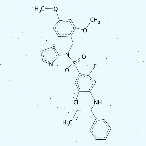 CCC(Nc1cc(F)c(S(=O)(=O)N(Cc2ccc(OC)cc2OC)c2nccs2)cc1Cl)c1ccccc1